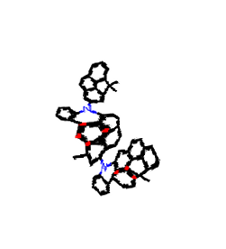 Cc1cc(N(c2cc3c4c(ccc5cccc(c54)C3(C)C)c2)c2ccccc2-c2ccccc2)c2ccc3ccc(N(c4cc5c6c(ccc7cccc(c76)C5(C)C)c4)c4ccccc4-c4ccccc4)c4ccc1c2c34